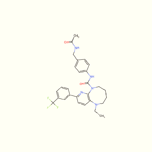 CCN1CCCCN(C(=O)Nc2ccc(CNC(C)=O)cc2)c2nc(-c3cccc(C(F)(F)F)c3)ccc21